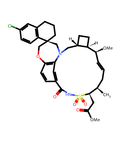 COC(=O)C[C@@H]1[C@H](C)C/C=C/[C@H](OC)[C@@H]2CC[C@H]2CN2C[C@@]3(CCCc4cc(Cl)ccc43)COc3ccc(cc32)C(=O)NS1(=O)=O